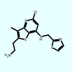 Cc1c(CCN)sc2c(NCc3nccs3)cc(Cl)nc12